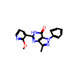 COc1ncccc1-c1nc2c(C)nn(-c3ccccc3)c2c(=O)[nH]1